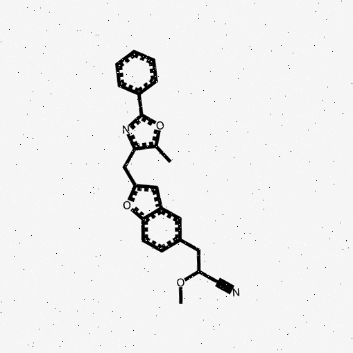 COC(C#N)Cc1ccc2oc(Cc3nc(-c4ccccc4)oc3C)cc2c1